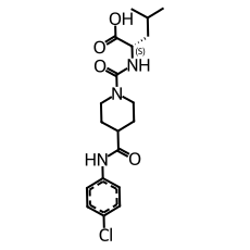 CC(C)C[C@H](NC(=O)N1CCC(C(=O)Nc2ccc(Cl)cc2)CC1)C(=O)O